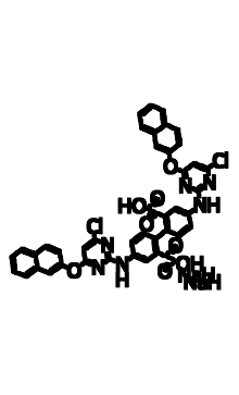 O=S(=O)(O)c1cc(Nc2nc(Cl)cc(Oc3ccc4ccccc4c3)n2)ccc1-c1ccc(Nc2nc(Cl)cc(Oc3ccc4ccccc4c3)n2)cc1S(=O)(=O)O.[NaH].[NaH]